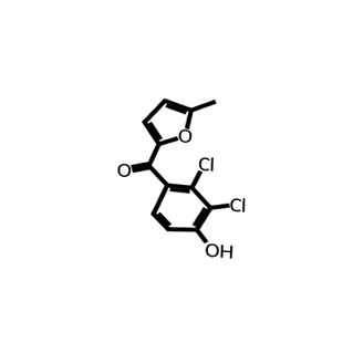 Cc1ccc(C(=O)c2ccc(O)c(Cl)c2Cl)o1